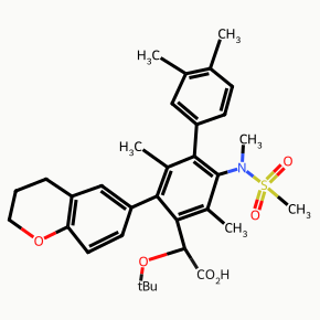 Cc1ccc(-c2c(C)c(-c3ccc4c(c3)CCCO4)c(C(OC(C)(C)C)C(=O)O)c(C)c2N(C)S(C)(=O)=O)cc1C